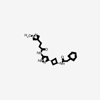 Cn1cc(CCC(=O)Nc2cc([C@H]3C[C@@H](NC(=O)Cc4ccccc4)C3)n[nH]2)cn1